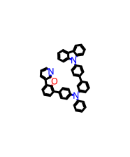 c1ccc(N(c2ccc(-c3cccc4c3oc3ncccc34)cc2)c2cccc(-c3ccc(-n4c5ccccc5c5ccccc54)cc3)c2)cc1